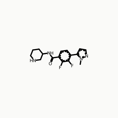 Cn1nccc1-c1ccc(C(=O)NC2CCCNC2)c(F)c1F